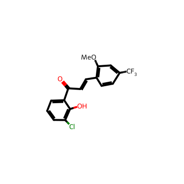 COc1cc(C(F)(F)F)ccc1/C=C/C(=O)c1cccc(Cl)c1O